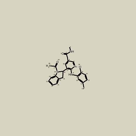 CNC(=O)c1cnc(Nc2cc(F)ccc2Cl)c(C2Cc3ccccc3N2C(N)=O)c1